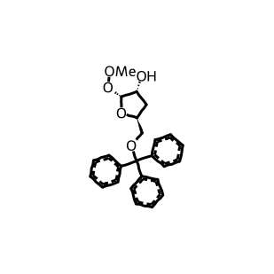 COO[C@H]1O[C@H](COC(c2ccccc2)(c2ccccc2)c2ccccc2)C[C@H]1O